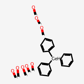 [C]=O.[C]=O.[C]=O.[C]=O.[C]=O.[C]=O.[C]=O.[C]=O.c1cc[c]([GeH]([c]2ccccc2)[c]2ccccc2)cc1